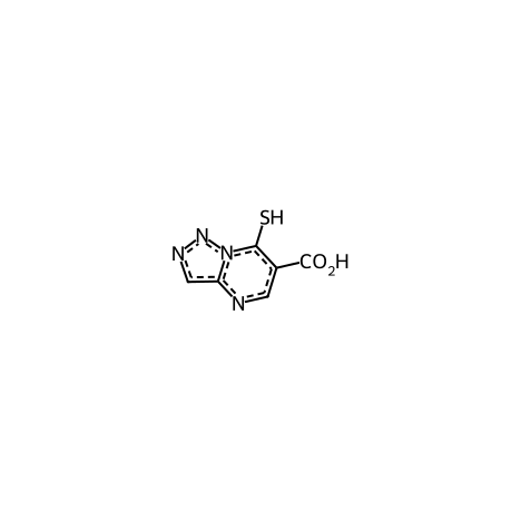 O=C(O)c1cnc2cnnn2c1S